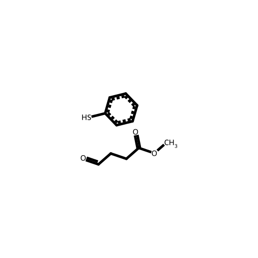 COC(=O)CCC=O.Sc1ccccc1